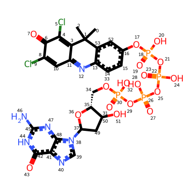 CC1(C)C2=C(Cl)C(=O)C(Cl)=CC2=Nc2ccc(OP(=O)(O)OP(=O)(O)OP(=O)(O)OP(=O)(O)OC[C@H]3OC(n4cnc5c(=O)[nH]c(N)nc54)CC3O)cc21